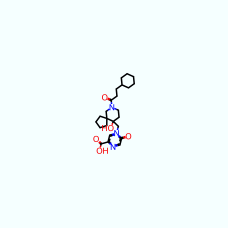 O=C(O)c1cn(CC2(O)CCN(C(=O)CCC3CCCCC3)CC23CCCC3)c(=O)cn1